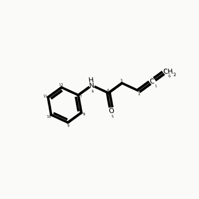 C=C=CCC(=O)Nc1ccccc1